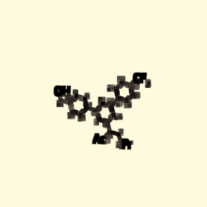 CC(=O)C(CC(C)C)c1cc(-c2ccc(CO)cc2)cc(-c2ccc(C(F)(F)F)cc2)c1